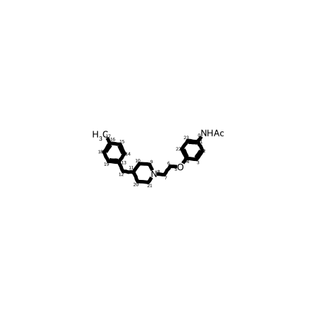 CC(=O)Nc1ccc(OCCN2CCC(Cc3ccc(C)cc3)CC2)cc1